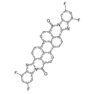 O=c1c2ccc3c4ccc5c6c(ccc(c7ccc(c2c37)c2nc3c(F)cc(F)cc3n12)c46)c(=O)n1c2cc(F)cc(F)c2nc51